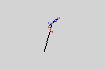 CCCCCCCCCCCCCCCC(=O)OC[C@@H]1C[C@@H](NCCNCCO)CO1